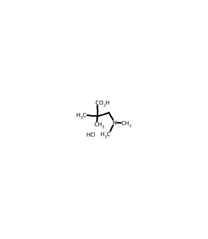 CN(C)CC(C)(C)C(=O)O.Cl